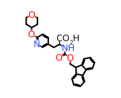 O=C(N[C@@H](Cc1ccc(OC2CCOCC2)nc1)C(=O)O)OCC1c2ccccc2-c2ccccc21